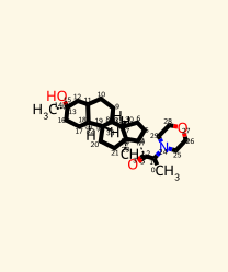 CC(C(=O)[C@H]1CC[C@H]2[C@@H]3CCC4C[C@](C)(O)CC[C@@H]4[C@H]3CC[C@]12C)N1CCOCC1